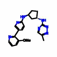 COc1cccnc1-c1ccc(N[C@H]2CC[C@H](Nc3ncc(C)nn3)C2)nc1